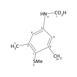 CSc1c(C)cc(NC(=O)O)cc1C